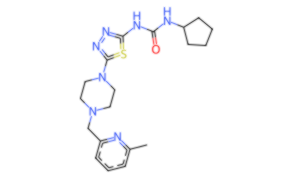 Cc1cccc(CN2CCN(c3nnc(NC(=O)NC4CCCC4)s3)CC2)n1